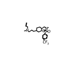 C=CCN(C)CCCC1CCC(CN(C)S(=O)(=O)c2ccc(C(F)(F)F)cc2)CC1